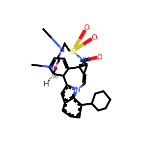 CN1CCCS(=O)(=O)NC(=O)C2=C3C2=Cn2c(cc4cccc(C5CCCCC5)c42)C2C3=CC=C[C@H]2CN(C)CC1